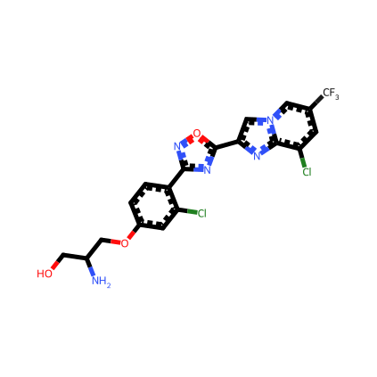 NC(CO)COc1ccc(-c2noc(-c3cn4cc(C(F)(F)F)cc(Cl)c4n3)n2)c(Cl)c1